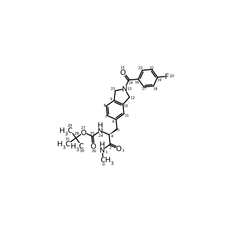 CNC(=O)[C@H](Cc1ccc2c(c1)CN(C(=O)c1ccc(F)cc1)C2)NC(=O)OC(C)(C)C